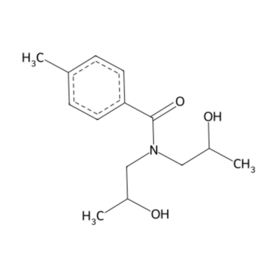 Cc1ccc(C(=O)N(CC(C)O)CC(C)O)cc1